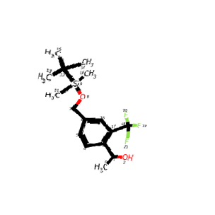 CC(O)c1ccc(CO[Si](C)(C)C(C)(C)C)cc1C(F)(F)F